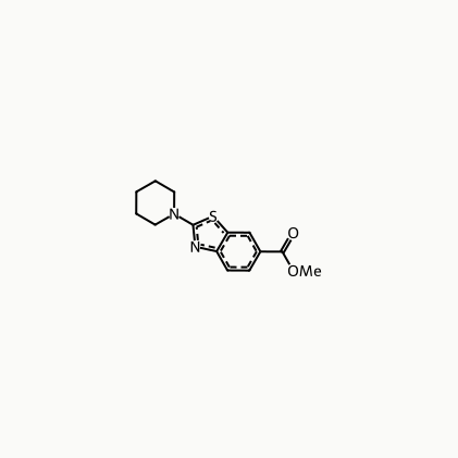 COC(=O)c1ccc2nc(N3CCCCC3)sc2c1